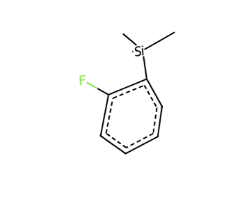 C[Si](C)c1ccccc1F